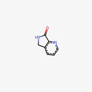 O=C1NCc2cccnc21